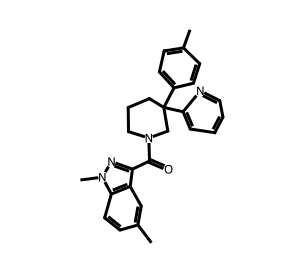 Cc1ccc(C2(c3ccccn3)CCCN(C(=O)c3nn(C)c4ccc(C)cc34)C2)cc1